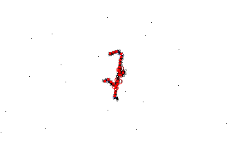 CC/C=C\CCCCOC(CCC(=O)OCCC(CCOC(=O)CCCCCCC/C=C\C/C=C\CCCCC)O[Si](C)(C)C(C)(C)C)OCCCC/C=C\CC